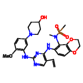 C=Cc1cnc(Nc2cc(N3CCC(O)CC3)ccc2OC)nc1Nc1ccc2c(c1N(C)S(C)(=O)=O)OCCO2